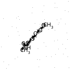 CCNC(=O)COCCOCCOCCOCCOC